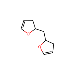 C1=COC(CC2CC=CO2)C1